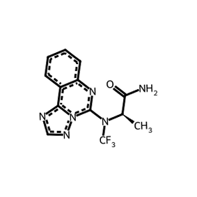 C[C@H](C(N)=O)N(c1nc2ccccc2c2ncnn12)C(F)(F)F